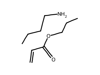 C=CC(=O)OCCC.CCCCN